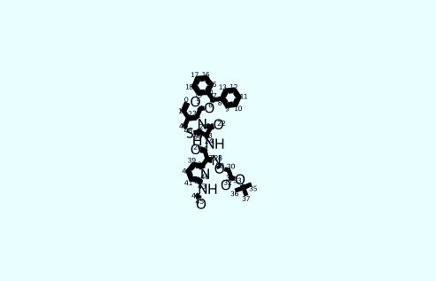 C=CC1=C(C(=O)OC(c2ccccc2)c2ccccc2)N2C(=O)C(NC(=O)C(=NOCC(=O)OC(C)(C)C)c3cccc(NC=O)n3)[C@@H]2SC1